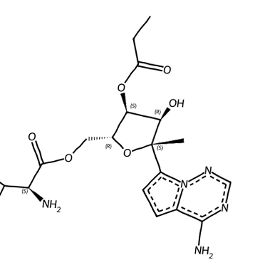 CCC(=O)O[C@H]1[C@@H](O)[C@](C)(c2ccc3c(N)ncnn23)O[C@@H]1COC(=O)[C@@H](N)C(C)C